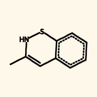 CC1=Cc2ccccc2SN1